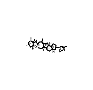 CC1=C2C[C@H]3[C@@H](CC[C@@H]4CC(n5cc(C)nn5)CC[C@@]43C)[C@@H]2CC[C@@]2(C1)O[C@@H]1C[C@H](C)CN[C@H]1[C@H]2C